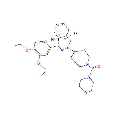 CCOc1ccc(C2=NN(C3CCN(C(=O)N4CCOCC4)CC3)C[C@@H]3CC=CC[C@H]23)cc1OCC